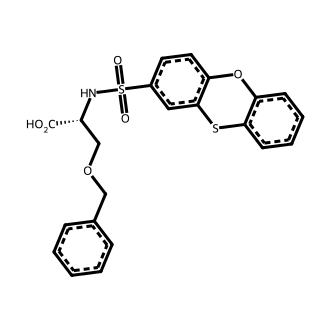 O=C(O)[C@@H](COCc1ccccc1)NS(=O)(=O)c1ccc2c(c1)Sc1ccccc1O2